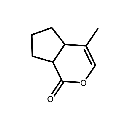 CC1=COC(=O)C2CCCC12